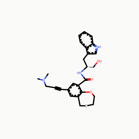 CN(C)CC#Cc1cc2c(c(C(=O)N[C@@H](CO)Cc3c[nH]c4ccccc34)c1)OCCCC2